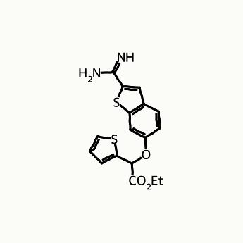 CCOC(=O)C(Oc1ccc2cc(C(=N)N)sc2c1)c1cccs1